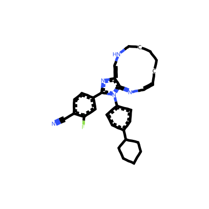 N#Cc1ccc(-c2nc3/c(n2-c2ccc(C4CCCCC4)cc2)=N\C=C/CCCCCN\C=3)cc1F